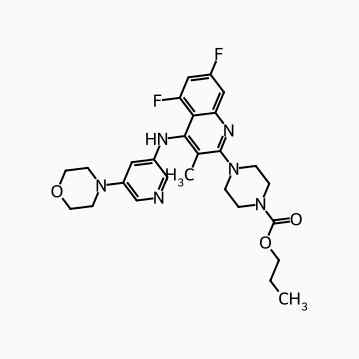 CCCOC(=O)N1CCN(c2nc3cc(F)cc(F)c3c(Nc3cncc(N4CCOCC4)c3)c2C)CC1